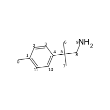 Cc1ccc(C(C)(C)CN)cc1